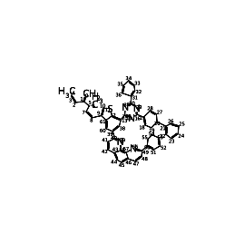 C=C(/C=C\C)[C@H](C)/C=C\c1csc2c(-c3nc(C4=CCC(c5ccccc5)C=C4)nc(-c4ccccc4)n3)cc(-c3ccc4ccc5ccc(C6=CC=CCC6)nc5c4n3)cc12